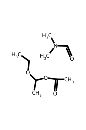 CCOC(C)OC(C)=O.CN(C)C=O